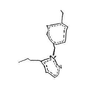 CCc1c[c]nn1-c1ccc(C)cc1